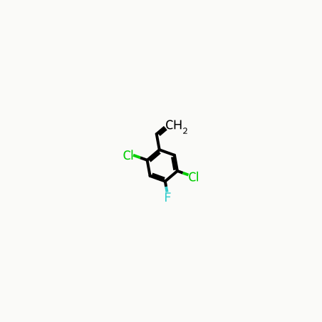 C=Cc1cc(Cl)c(F)cc1Cl